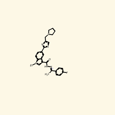 CCn1cc(C(=O)N/N=C(\C)c2ccc(F)cc2)c2cc(-c3nc(CN4CCCC4)cs3)ccc21